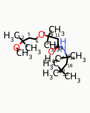 COC(C)(C)CCOC(C)(C)CC(=O)NC(C)(C)CC(C)(C)C